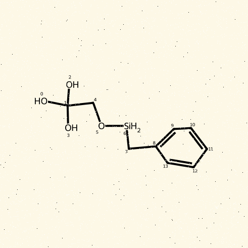 OC(O)(O)CO[SiH2]Cc1ccccc1